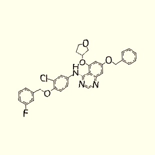 Fc1cccc(COc2ccc(Nc3ncnc4cc(OCc5ccccc5)cc(OC5CCOC5)c34)cc2Cl)c1